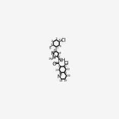 Cc1ccc(Cl)cc1-c1cc(NC(=O)c2cc3ncccc3cc2Cl)n(C)n1